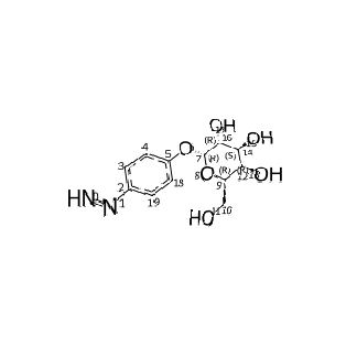 N=Nc1ccc(O[C@H]2O[C@H](CO)[C@H](O)[C@H](O)[C@H]2O)cc1